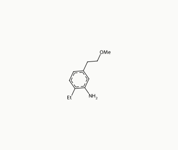 CCc1ccc(CCOC)cc1N